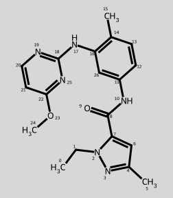 CCn1nc(C)cc1C(=O)Nc1ccc(C)c(Nc2nccc(OC)n2)c1